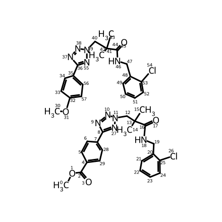 COC(=O)c1ccc(-c2nnn(CC(C)(C)C(=O)NCc3ccccc3Cl)n2)cc1.COc1ccc(-c2nnn(CC(C)(C)C(=O)NCc3ccccc3Cl)n2)cc1